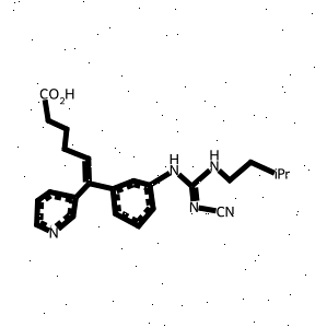 CC(C)CCNC(=NC#N)Nc1cccc(C(=CCCCC(=O)O)c2cccnc2)c1